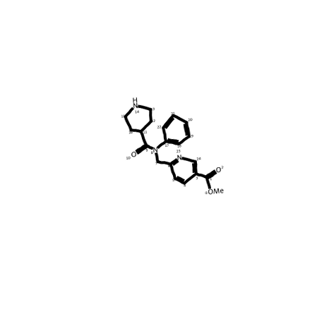 COC(=O)c1ccc(CN(C(=O)C2CCNCC2)c2ccccc2)nc1